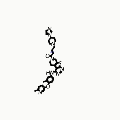 Cc1ccc(Oc2ccc(Nc3ncnc4sc5c(c34)CCN(C(=O)/C=C/CN3CCC(n4ccnc4)CC3)C5)cc2C)cn1